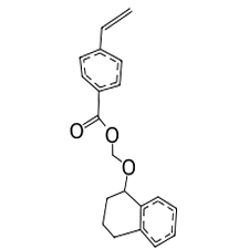 C=Cc1ccc(C(=O)OCOC2CCCc3ccccc32)cc1